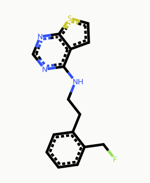 FCc1ccccc1CCNc1ncnc2sccc12